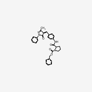 CC1=NN(c2ccccc2)C(=O)C1=Cc1ccc(NC(=O)C2CCCN2C(=O)OCc2ccccc2)cc1